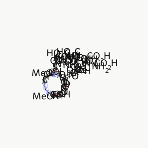 CO[C@H]1C[C@@H]2CC[C@@H](C)[C@@](O)(O2)C(=O)C(=O)N2CCCC[C@H]2C(=O)O[C@H]([C@H](C)C[C@@H]2CC[C@@H](OC(=O)C(C)(COC(=O)CSC[C@H](NC(=O)CC[C@H](N)C(=O)O)C(=O)NCC(=O)O)COC(=O)CSC[C@H](NC(=O)CC[C@H](N)C(=O)O)C(=O)NCC(=O)O)[C@H](OC)C2)CC(=O)[C@H](C)/C=C(\C)[C@@H](OC(=O)CSC[C@H](NC(=O)CC[C@H](N)C(=O)O)C(=O)NCC(=O)O)[C@@H](OC)C(=O)[C@H](C)C[C@H](C)/C=C/C=C/C=C/1C